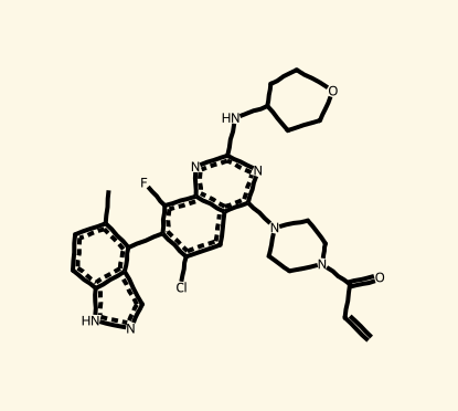 C=CC(=O)N1CCN(c2nc(NC3CCOCC3)nc3c(F)c(-c4c(C)ccc5[nH]ncc45)c(Cl)cc23)CC1